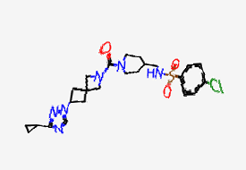 O=C(N1CCC(CNS(=O)(=O)c2ccc(Cl)cc2)CC1)N1CC2(CC(n3cnc(C4CC4)n3)C2)C1